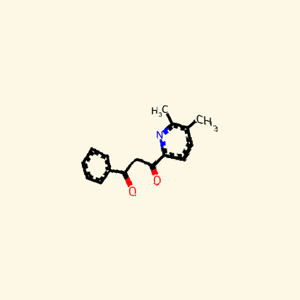 Cc1ccc(C(=O)CC(=O)c2ccccc2)nc1C